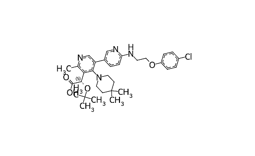 Cc1ncc(-c2ccc(NCCOc3ccc(Cl)cc3)nc2)c(N2CCC(C)(C)CC2)c1[C@H](OC(C)(C)C)C(=O)O